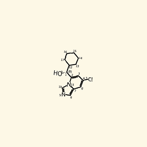 O[C@@H](c1cc(Cl)cc2cncn12)C1CCCCC1